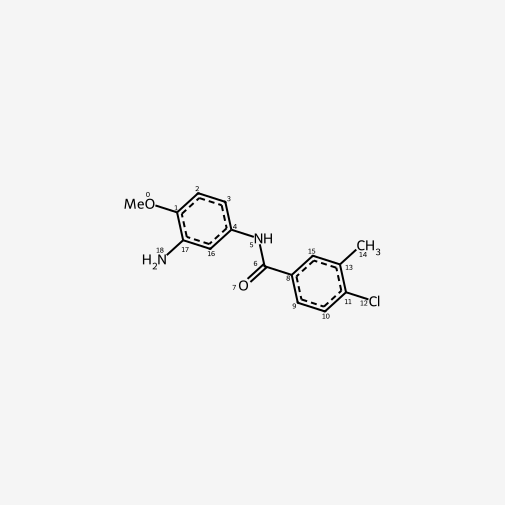 COc1ccc(NC(=O)c2ccc(Cl)c(C)c2)cc1N